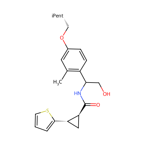 CCC[C@@H](C)COc1ccc(C(CO)NC(=O)[C@H]2C[C@@H]2c2cccs2)c(C)c1